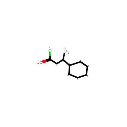 O=C(Cl)CC(C1CCCCC1)C(F)(F)F